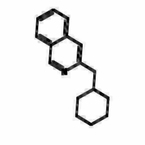 c1ccc2cc(CC3CCCCC3)ncc2c1